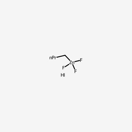 CCC[CH2][Zn]([F])([F])[F].I